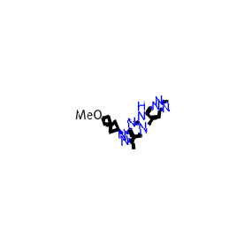 COC1CC2(C1)CC(n1nc(C)c3cnc(Nc4cn5ncnc5cc4C)nc31)C2